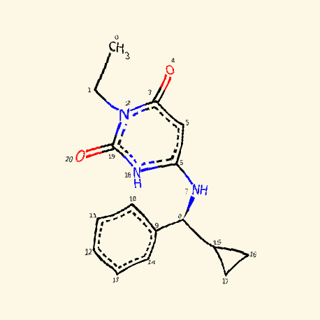 CCn1c(=O)cc(N[C@H](c2ccccc2)C2CC2)[nH]c1=O